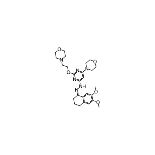 COc1cc2c(cc1OC)/C(=N\Nc1cc(N3CCOCC3)nc(OCCN3CCOCC3)n1)CCC2